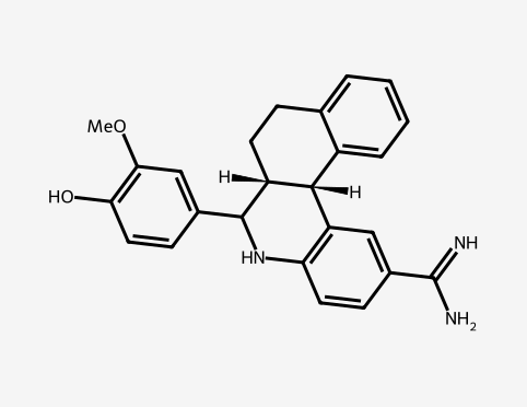 COc1cc(C2Nc3ccc(C(=N)N)cc3[C@H]3c4ccccc4CC[C@@H]23)ccc1O